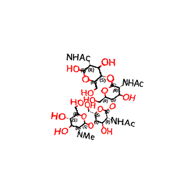 CN[C@@H]1C(O)[C@H](O)[C@@H](CO)O[C@H]1O[C@H]1C(O)[C@@H](NC(C)=O)[C@H](O[C@H]2C(O)[C@@H](NC(C)=O)[C@H](O[C@H]3C(O)[C@@H](NC(C)=O)[C@H](O)O[C@@H]3CO)O[C@@H]2CO)O[C@H]1CO